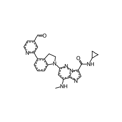 CNc1cc(N2CCc3c(-c4cc(C=O)ccn4)cccc32)nn2c(C(=O)NC3CC3)cnc12